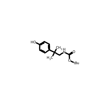 CC(C)(C)OC(=O)NCC(C)(C)c1ccc(O)cc1